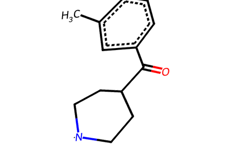 Cc1cccc(C(=O)C2CC[N]CC2)c1